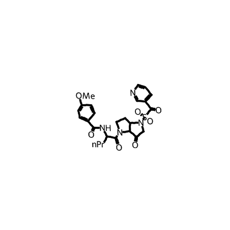 CCCC(NC(=O)c1ccc(OC)cc1)C(=O)N1CCC2C1C(=O)CN2S(=O)(=O)C(=O)c1cccnc1